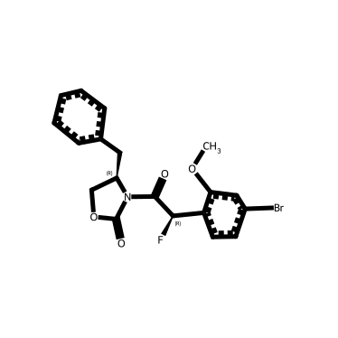 COc1cc(Br)ccc1[C@@H](F)C(=O)N1C(=O)OC[C@H]1Cc1ccccc1